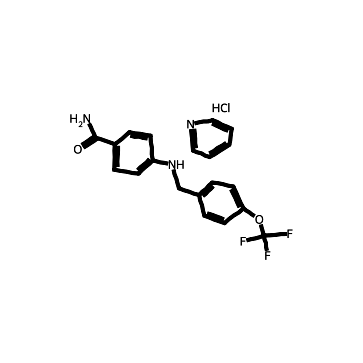 Cl.NC(=O)c1ccc(NCc2ccc(OC(F)(F)F)cc2)cc1.c1ccncc1